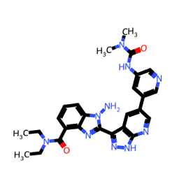 CCN(CC)C(=O)c1cccc2c1nc(-c1n[nH]c3ncc(-c4cncc(NC(=O)N(C)C)c4)cc13)n2N